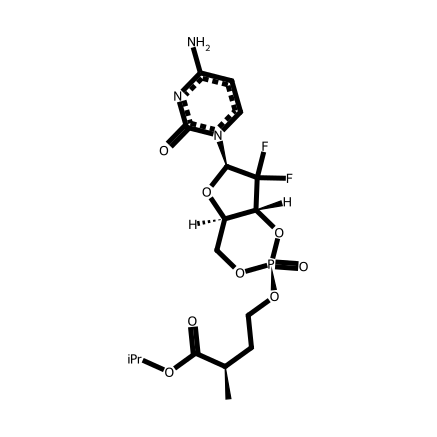 CC(C)OC(=O)[C@H](C)CCO[P@@]1(=O)OC[C@H]2O[C@@H](n3ccc(N)nc3=O)C(F)(F)[C@@H]2O1